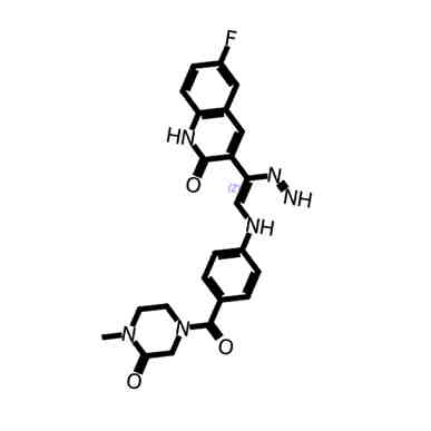 CN1CCN(C(=O)c2ccc(N/C=C(\N=N)c3cc4cc(F)ccc4[nH]c3=O)cc2)CC1=O